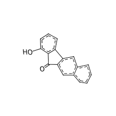 O=C1c2cc3ccccc3cc2-c2cccc(O)c21